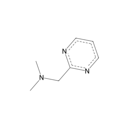 CN(C)Cc1ncccn1